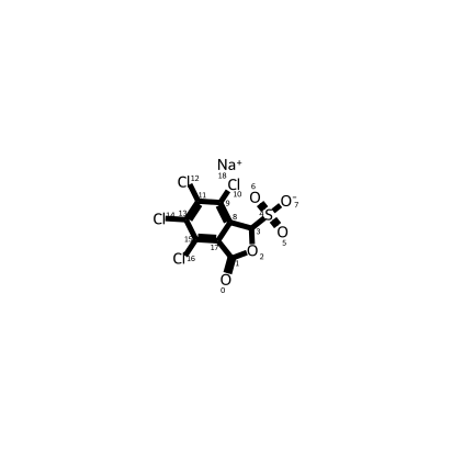 O=C1OC(S(=O)(=O)[O-])c2c(Cl)c(Cl)c(Cl)c(Cl)c21.[Na+]